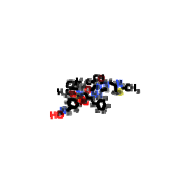 Cc1nc(Cn2ccn([C@H](C(=O)N[C@@H](Cc3ccccc3)[C@@H](O)CN(CC(C)C)S(=O)(=O)c3ccc(C=NO)cc3)C(C)C)c2=O)cs1